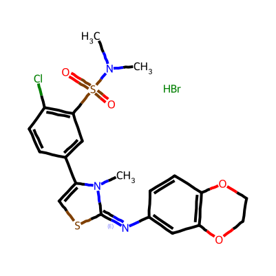 Br.CN(C)S(=O)(=O)c1cc(-c2cs/c(=N/c3ccc4c(c3)OCCO4)n2C)ccc1Cl